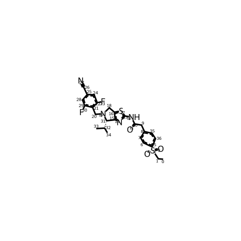 CCS(=O)(=O)c1ccc(CC(=O)Nc2nc3c(s2)CN(Cc2c(F)cc(C#N)cc2F)[C@H]3C(C)C)cc1